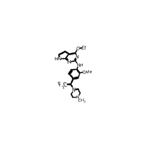 CCOc1nc(Nc2ccc(C(N3CCN(C)CC3)C(F)(F)F)cc2OC)nc2[nH]ccc12